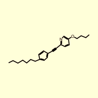 CCCCCCCc1ccc(C#Cc2ccc(OCCCC)cn2)cc1